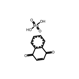 O=C1C=CC(=O)c2ccccc21.[O]=[Mo](=[O])([OH])[OH]